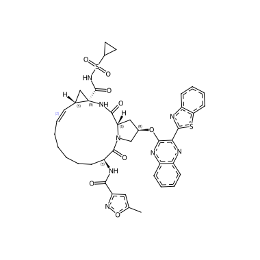 Cc1cc(C(=O)N[C@H]2CCCCC/C=C\[C@@H]3C[C@@]3(C(=O)NS(=O)(=O)C3CC3)NC(=O)[C@@H]3C[C@@H](Oc4nc5ccccc5nc4-c4nc5ccccc5s4)CN3C2=O)no1